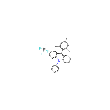 Cc1cc(C)c(-c2c3ccccc3[n+](-c3ccccc3)c3ccccc23)c(C)c1.F[B-](F)(F)F